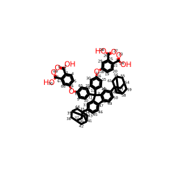 O=C(O)c1ccc(Oc2ccc(C3(c4ccc(Oc5ccc(C(=O)O)c(C(=O)O)c5)cc4)c4cc(C56CC7CC(CC(C7)C5)C6)ccc4-c4ccc(C56CC7CC(CC(C7)C5)C6)cc43)cc2)cc1C(=O)O